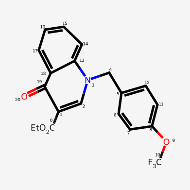 CCOC(=O)c1cn(Cc2ccc(OC(F)(F)F)cc2)c2ccccc2c1=O